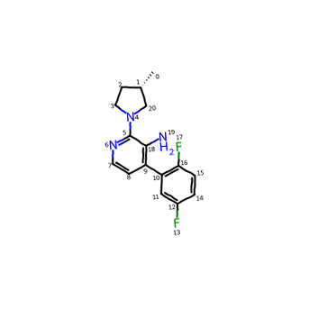 C[C@H]1CCN(c2nccc(-c3cc(F)ccc3F)c2N)C1